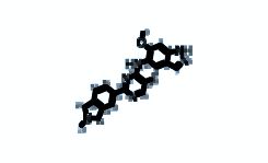 COc1cc2[nH]ncc2cc1Nc1nc(-c2ccc3c(c2)CN(C)C3)ncc1F